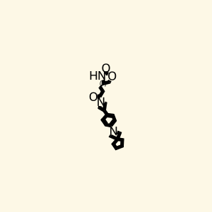 O=C1N[C@H](CCC(=O)N2CC(c3ccc(N4CC5(CCCC5)C4)cc3)C2)CO1